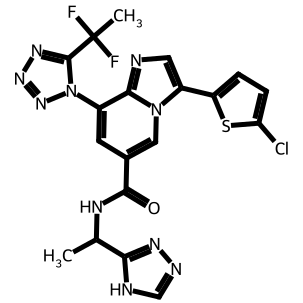 CC(NC(=O)c1cc(-n2nnnc2C(C)(F)F)c2ncc(-c3ccc(Cl)s3)n2c1)c1nnc[nH]1